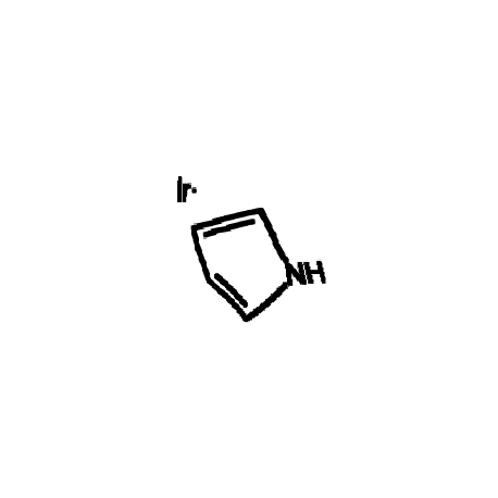 [Ir].c1cc[nH]c1